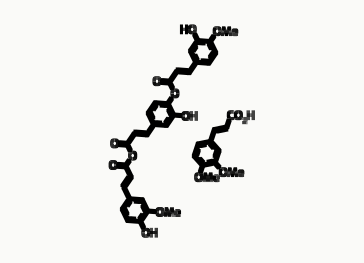 COc1ccc(C=CC(=O)O)cc1OC.COc1ccc(C=CC(=O)Oc2ccc(C=CC(=O)OC(=O)C=Cc3ccc(O)c(OC)c3)cc2O)cc1O